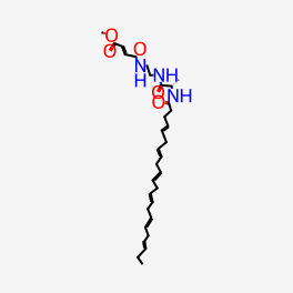 CCC=CCC=CCC=CCC=CCC=CCC=CCCC(=O)N[C@@H](C)C(=O)NCCNC(=O)C=CC(=O)OC